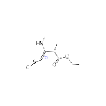 CCOC(=O)C(C)/C(=C/SCl)NC